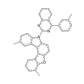 Cc1cccc(-c2nc(-n3c4ccc(C)cc4c4c5c(ccc43)oc3c(C)cccc35)nc3ccccc23)c1